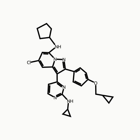 Clc1cc(NC2CCCC2)n2nc(-c3ccc(OCC4CC4)cc3)c(-c3ccnc(NC4CC4)n3)c2c1